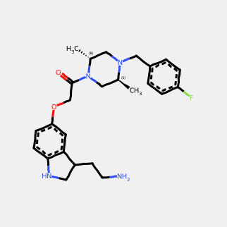 C[C@@H]1CN(Cc2ccc(F)cc2)[C@@H](C)CN1C(=O)COc1ccc2c(c1)C(CCN)CN2